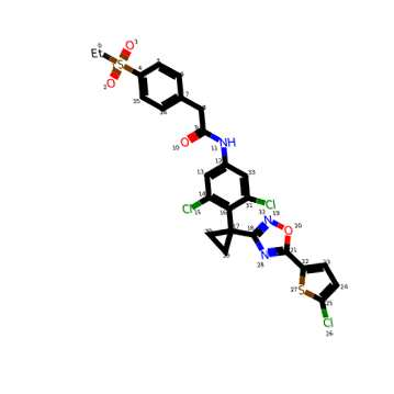 CCS(=O)(=O)c1ccc(CC(=O)Nc2cc(Cl)c(C3(c4noc(-c5ccc(Cl)s5)n4)CC3)c(Cl)c2)cc1